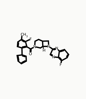 Cc1ccc(-c2ccccc2)c(C(=O)N2CCC3CN(c4cnc5c(F)cccc5n4)[C@@H]3C2)c1F